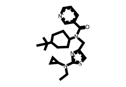 CCN(c1nc(CN(C(=O)c2cccnc2)C2CCC(C(C)(C)C)CC2)cs1)C1CC1